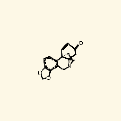 O=C1C=C[C@]23CCN(Cc4c2ccc2c4OCO2)[C@H]3C1